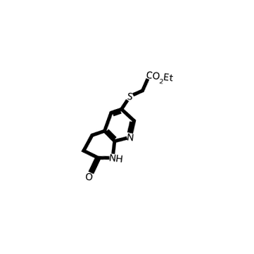 CCOC(=O)CSc1cnc2c(c1)CCC(=O)N2